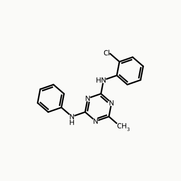 Cc1nc(Nc2ccccc2)nc(Nc2ccccc2Cl)n1